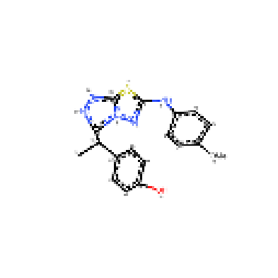 COc1ccc(Nc2nn3c(C(C)c4ccc(O)cc4)nnc3s2)cc1